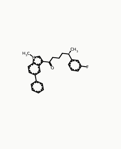 C[C@H](CCCC(=O)c1cn(C)c2ccc(-c3ccccc3)cc12)c1cccc(F)c1